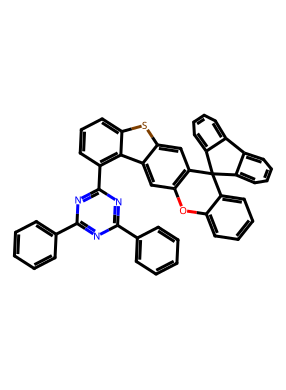 c1ccc(-c2nc(-c3ccccc3)nc(-c3cccc4sc5cc6c(cc5c34)Oc3ccccc3C63c4ccccc4-c4ccccc43)n2)cc1